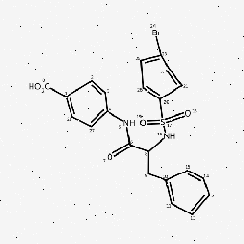 O=C(O)c1ccc(NC(=O)C(Cc2ccccc2)NS(=O)(=O)c2ccc(Br)cc2)cc1